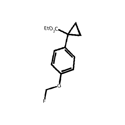 CCOC(=O)C1(c2ccc(OCF)cc2)CC1